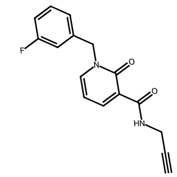 C#CCNC(=O)c1cccn(Cc2cccc(F)c2)c1=O